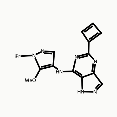 COc1c(Nc2nc(C3=CC=C3)nc3cn[nH]c23)cnn1C(C)C